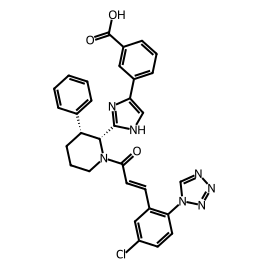 O=C(O)c1cccc(-c2c[nH]c([C@H]3[C@@H](c4ccccc4)CCCN3C(=O)/C=C/c3cc(Cl)ccc3-n3cnnn3)n2)c1